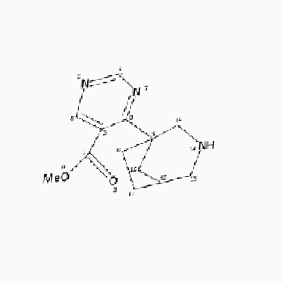 COC(=O)c1cn[c]nc1C12CCC(CNC1)C2